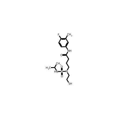 Cc1cc(NC(=O)CCCN(CCS)S(=O)(=O)NC(C)C)ccc1F